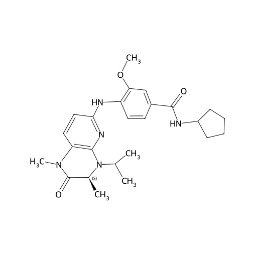 COc1cc(C(=O)NC2CCCC2)ccc1Nc1ccc2c(n1)N(C(C)C)[C@@H](C)C(=O)N2C